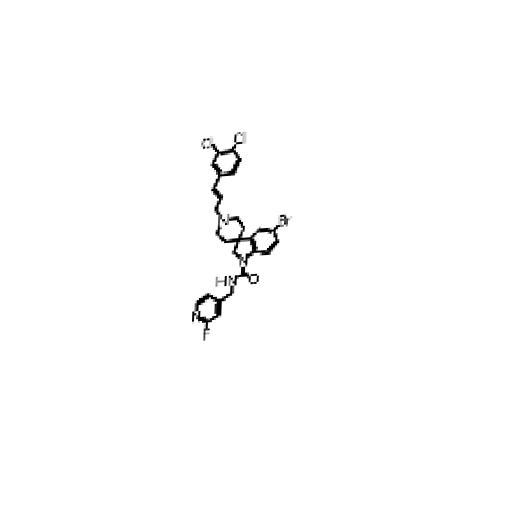 O=C(NCc1ccnc(F)c1)N1CC2(CCN(CC=Cc3ccc(Cl)c(Cl)c3)CC2)c2cc(Br)ccc21